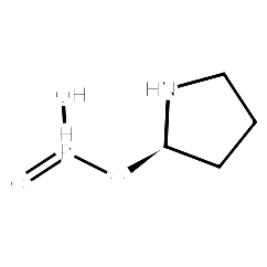 O=[PH](O)O[C@@H]1CCCN1